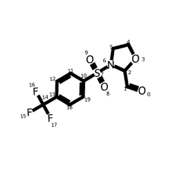 O=CC1OCCN1S(=O)(=O)c1ccc(C(F)(F)F)cc1